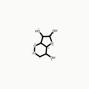 OC1COOC2C(O)C(O)OC12